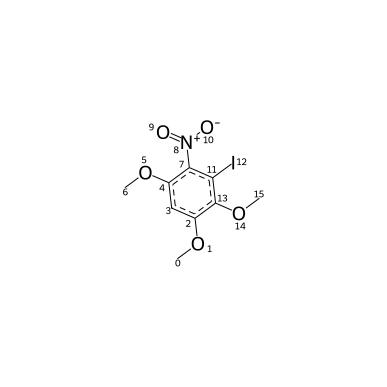 COc1cc(OC)c([N+](=O)[O-])c(I)c1OC